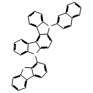 c1ccc2cc(-n3c4ccccc4c4c5c6ccccc6n(-c6cccc7c6sc6ccccc67)c5ccc43)ccc2c1